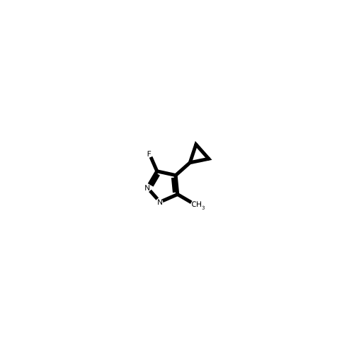 CC1=C(C2CC2)C(F)=N[N]1